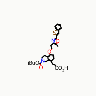 Cc1oc(-c2cc3ccccc3s2)nc1CCOc1ccc(CCC(=O)O)c2c1CCN(C(=O)OCC(C)C)C2